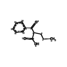 CCCC(C(=O)O)C(=O)c1ccccc1